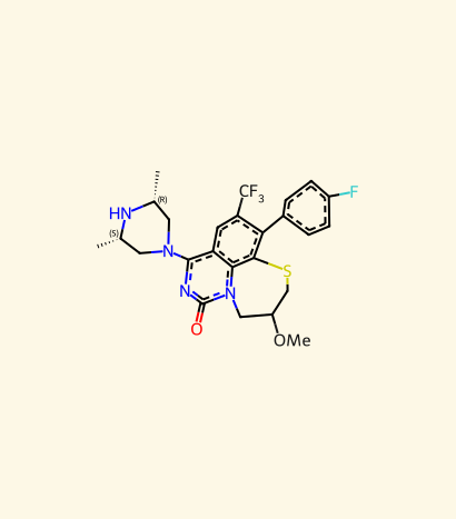 COC1CSc2c(-c3ccc(F)cc3)c(C(F)(F)F)cc3c(N4C[C@@H](C)N[C@@H](C)C4)nc(=O)n(c23)C1